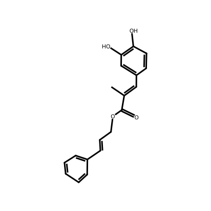 C/C(=C\c1ccc(O)c(O)c1)C(=O)OC/C=C/c1ccccc1